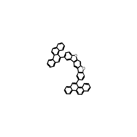 c1ccc2c(c1)cc(-c1ccc3oc4cc5oc6ccc(-c7cc8ccccc8c8ccc9ccccc9c78)cc6c5cc4c3c1)c1c3ccccc3ccc21